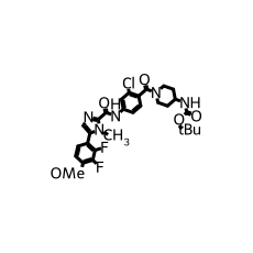 COc1ccc(-c2cnc(C(=O)Nc3ccc(C(=O)N4CCC(NC(=O)OC(C)(C)C)CC4)c(Cl)c3)n2C)c(F)c1F